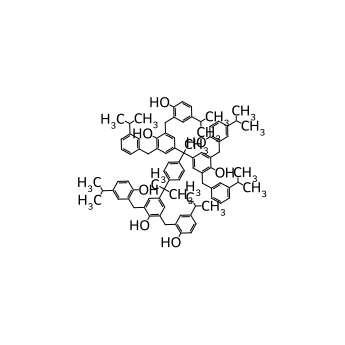 CC(C)c1cccc(Cc2cc(C(C)(c3ccc(C(C)(C)c4cc(Cc5cc(C(C)C)ccc5O)c(O)c(Cc5cc(C(C)C)ccc5O)c4)cc3)c3cc(Cc4cccc(C(C)C)c4)c(O)c(Cc4cc(C(C)C)ccc4O)c3)cc(Cc3cc(C(C)C)ccc3O)c2O)c1